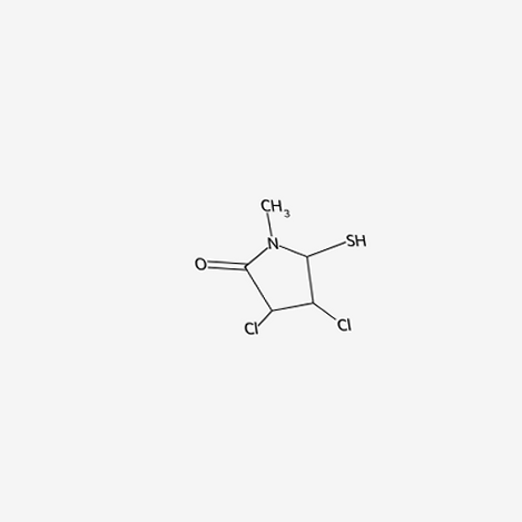 CN1C(=O)C(Cl)C(Cl)C1S